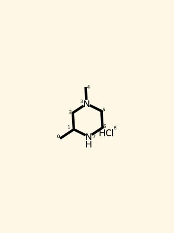 CC1CN(C)CCN1.Cl